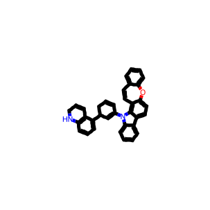 C1=Cc2c(cccc2C2C=C(n3c4ccccc4c4ccc5c(c43)C=Cc3ccccc3O5)C=CC2)NC1